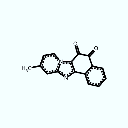 Cc1ccn2c3c(nc2c1)-c1ccccc1C(=O)C3=O